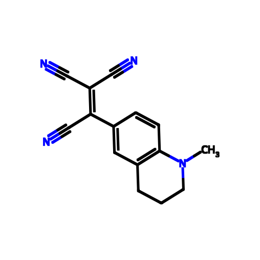 CN1CCCc2cc(C(C#N)=C(C#N)C#N)ccc21